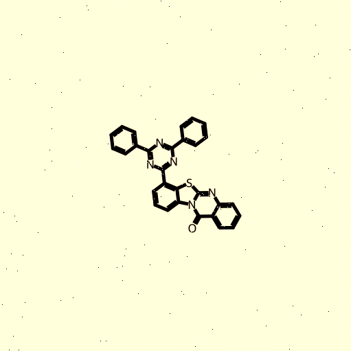 O=c1c2ccccc2nc2sc3c(-c4nc(-c5ccccc5)nc(-c5ccccc5)n4)cccc3n12